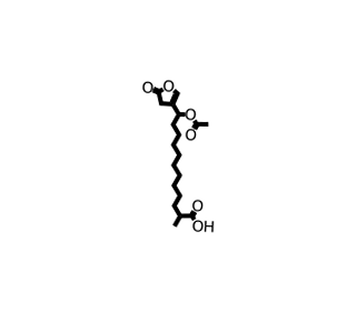 CC(=O)OC(CCCCCCCCCC(C)C(=O)O)C1=COC(=O)C1